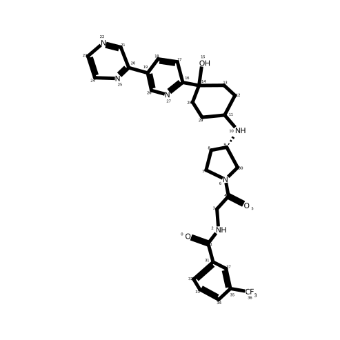 O=C(NCC(=O)N1CC[C@H](NC2CCC(O)(c3ccc(-c4cnccn4)cn3)CC2)C1)c1cccc(C(F)(F)F)c1